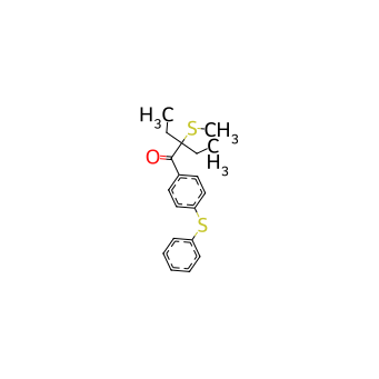 CCC(CC)(SC)C(=O)c1ccc(Sc2ccccc2)cc1